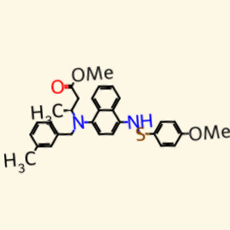 COC(=O)C[C@H](C)N(Cc1cccc(C)c1)c1ccc(NSc2ccc(OC)cc2)c2ccccc12